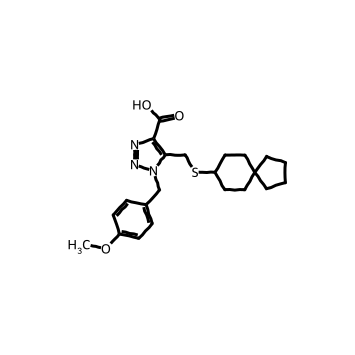 COc1ccc(Cn2nnc(C(=O)O)c2CSC2CCC3(CCCC3)CC2)cc1